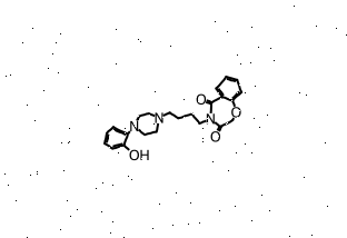 O=C1COc2ccccc2C(=O)N1CCCCN1CCN(c2ccccc2O)CC1